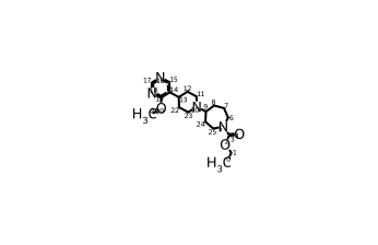 CCOC(=O)N1CCCC(N2CCC(c3cncnc3OC)CC2)CC1